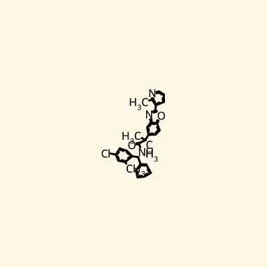 Cc1cc(Cl)ccc1C(NC(=O)C(C)(C)c1ccc2oc(-c3cccnc3C)nc2c1)c1ccccc1